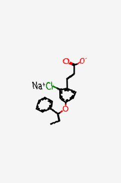 CCC(Oc1ccc(CCC(=O)[O-])c(Cl)c1)c1ccccc1.[Na+]